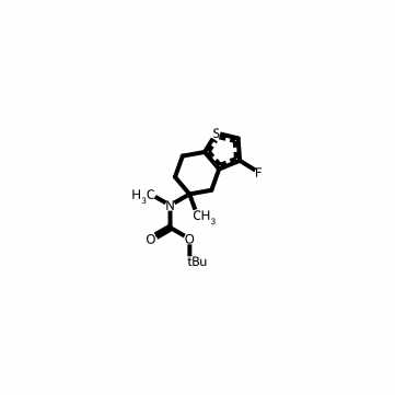 CN(C(=O)OC(C)(C)C)C1(C)CCc2scc(F)c2C1